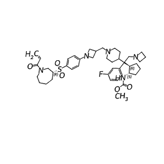 C=CC(=O)N1CCCC[C@@H](S(=O)(=O)c2ccc(N3CC(CN4CCC(C(CN5CCC5)(c5cccc(F)c5)[C@H]5CCC[C@@H]5NC(=O)OC)CC4)C3)cc2)C1